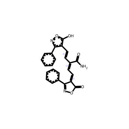 NC(=O)C(=C\C=C1\C(=O)ON=C1c1ccccc1)/C=C/c1c(-c2ccccc2)noc1O